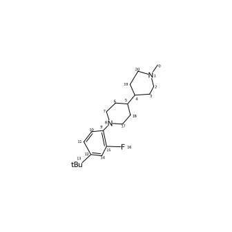 CN1CCC(C2CCN(c3ccc(C(C)(C)C)cc3F)CC2)CC1